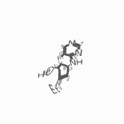 CC[C@H]1C[C@@H](Nc2ncncc2F)C[C@@H]1O